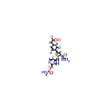 CNC(=O)OCc1nccc(Nc2sc(-c3c(F)cc(CC(C)O)cc3F)cc2C(N)=O)n1